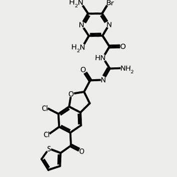 NC(=NC(=O)C1Cc2cc(C(=O)c3cccs3)c(Cl)c(Cl)c2O1)NC(=O)c1nc(Br)c(N)nc1N